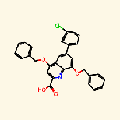 O=C(O)c1cc(OCc2ccccc2)c2cc(-c3cccc(Cl)c3)cc(OCc3ccccc3)c2n1